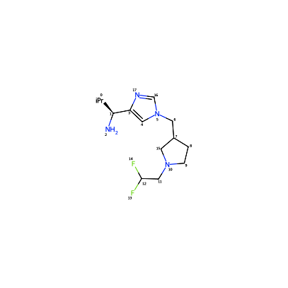 CC(C)[C@H](N)c1cn(CC2CCN(CC(F)F)C2)cn1